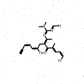 C#C/C=C\C=C(\C#N)C\C(C(=O)/C(C)=C/C=C\CC)=C(C)/N=C(\N=C\CC)N(C)C